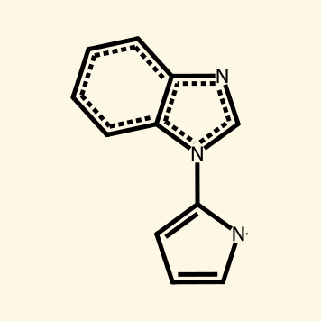 C1=C[N]C(n2cnc3ccccc32)=C1